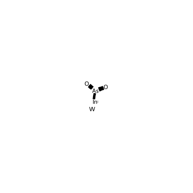 O=[As](=O)[In].[W]